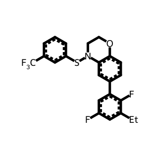 CCc1cc(F)cc(-c2ccc3c(c2)N(Sc2cccc(C(F)(F)F)c2)CCO3)c1F